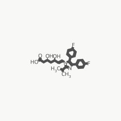 CC(C)c1nc(-c2ccc(F)cc2)c(-c2ccc(F)cc2)n1/C=C/[C@H](O)C[C@@H](O)CC(=O)O